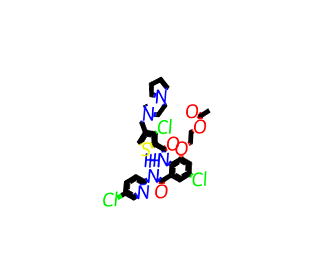 CC(=O)OCCOc1cc(Cl)cc(C(=O)Nc2ccc(Cl)cn2)c1NC(=O)c1scc(CN(C)CCN2CCCC2)c1Cl